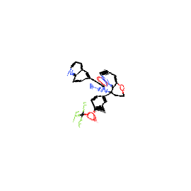 O=C(NC1(c2ccc(OC(F)(F)F)cc2)CCOc2cccnc21)c1ccc2ncccc2c1